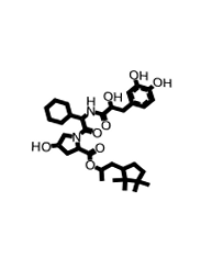 CC(CC1CCC(C)(C)C1(C)C)OC(=O)C1CC(O)CN1C(=O)C(NC(=O)C(O)Cc1ccc(O)c(O)c1)C1CCCCC1